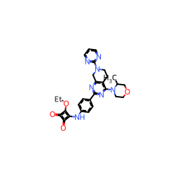 CCOc1c(Nc2ccc(-c3nc4c(c(N5CCOCC5C)n3)CCN(c3ncccn3)C4)cc2)c(=O)c1=O